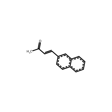 CC(=O)/C=C/c1ccc2ccccc2c1